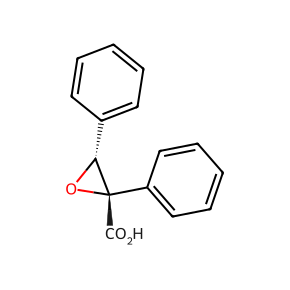 O=C(O)[C@@]1(c2ccccc2)O[C@@H]1c1ccccc1